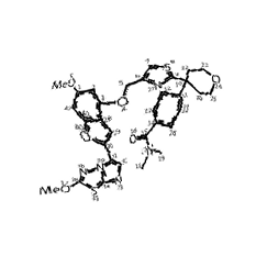 COc1cc(OCc2csc(C3(c4ccc(C(=O)N(C)C)cc4)CCOCC3)n2)c2cc(-c3cnc4sc(OC)nn34)oc2c1